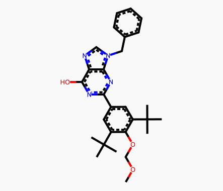 COCOc1c(C(C)(C)C)cc(-c2nc(O)c3ncn(Cc4ccccc4)c3n2)cc1C(C)(C)C